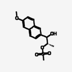 COc1ccc2cc(C(O)[C@H](C)OS(C)(=O)=O)ccc2c1